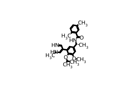 CN/C=C(\C=N)c1cc([C@@H](C)NC(=O)c2cc(C)ccc2C)cc(OC)c1OC(C)C